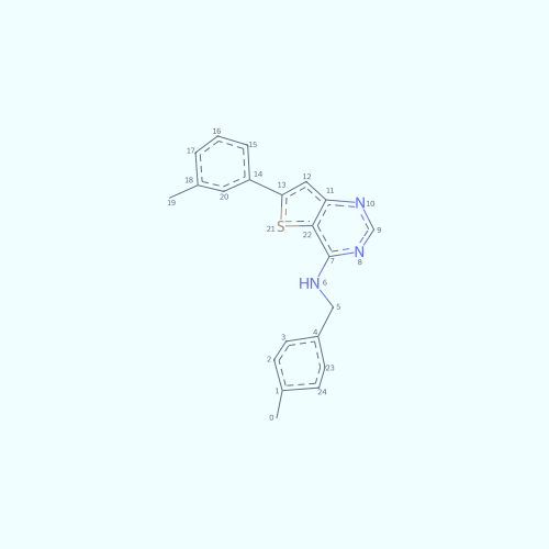 Cc1ccc(CNc2ncnc3cc(-c4cccc(C)c4)sc23)cc1